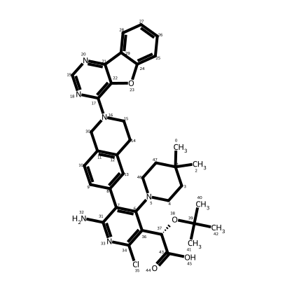 CC1(C)CCN(c2c(-c3ccc4c(c3)CCN(c3ncnc5c3oc3ccccc35)C4)c(N)nc(Cl)c2[C@H](OC(C)(C)C)C(=O)O)CC1